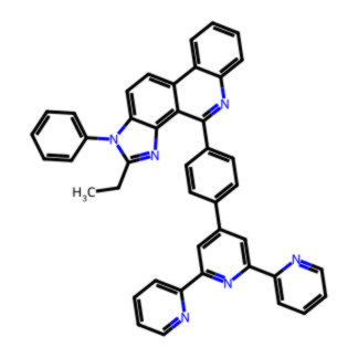 CCc1nc2c3c(-c4ccc(-c5cc(-c6ccccn6)nc(-c6ccccn6)c5)cc4)nc4ccccc4c3ccc2n1-c1ccccc1